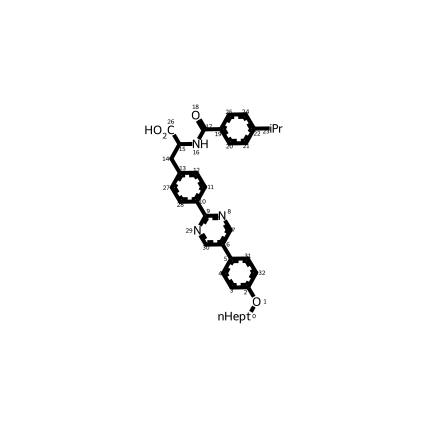 CCCCCCCOc1ccc(-c2cnc(-c3ccc(CC(NC(=O)c4ccc(C(C)C)cc4)C(=O)O)cc3)nc2)cc1